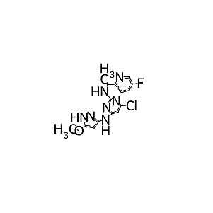 COc1cc(Nc2cc(Cl)nc(N[C@@H](C)c3ccc(F)cn3)n2)n[nH]1